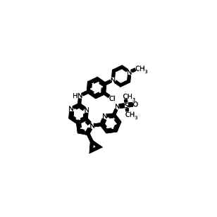 CN1CCN(c2ccc(Nc3ncc4cc(C5CC5)n(-c5cccc(N=S(C)(C)=O)n5)c4n3)cc2Cl)CC1